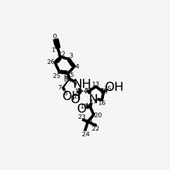 C#Cc1ccc([C@H](CO)NC(=O)[C@@H]2C[C@@H](O)CN2C(=O)CC(C)(C)C)cc1